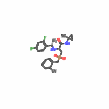 N#Cc1ccccc1CS(=O)(=O)CC(N[C@H](c1ccc(F)cc1F)C(F)(F)F)C(=O)NC1(C#N)CC1